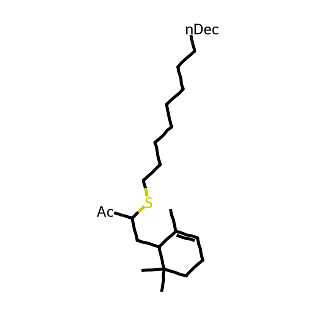 CCCCCCCCCCCCCCCCCCSC(CC1C(C)=CCCC1(C)C)C(C)=O